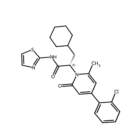 Cc1cc(-c2ccccc2Cl)cc(=O)n1[C@@H](CC1CCCCC1)C(=O)Nc1nccs1